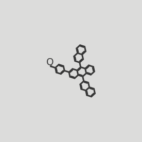 O=Cc1ccc(-c2ccc3c(-c4ccc5ccccc5c4)c4ccccc4c(-c4ccc5ccccc5c4)c3c2)cc1